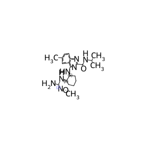 CO/N=C(/N)N[C@@H]1CCCC[C@@H]1Nc1nc(C(=O)NC(C)C)nc2ccc(C)cc12